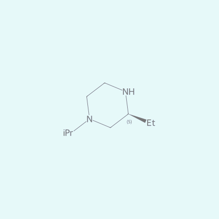 CC[C@H]1CN(C(C)C)CCN1